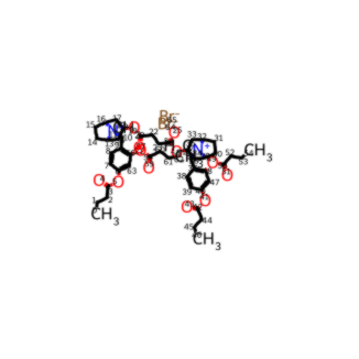 CCCC(=O)Oc1ccc(C[N+]2(C)C3CCC2CC(OC(=O)CCC(=O)OC2CC4CCC(C2)[N+]4(C)Cc2ccc(OC(=O)CCC)cc2OC(=O)CCC)C3)c(OC(=O)CCC)c1.[Br-].[Br-]